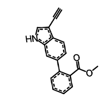 C#Cc1c[nH]c2cc(-c3ccccc3C(=O)OC)ccc12